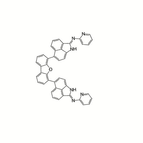 c1ccc(/N=C2\Nc3ccc(-c4cccc5c4oc4c(-c6ccc7c8c(cccc68)/C(=N/c6ccccn6)N7)cccc45)c4cccc2c34)nc1